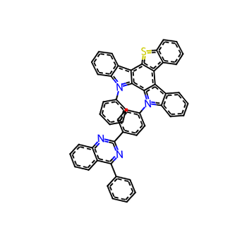 c1ccc(-c2nc(-c3ccc(-n4c5ccccc5c5c6c7ccccc7sc6c6c7ccccc7n(-c7ccccc7)c6c54)cc3)nc3ccccc23)cc1